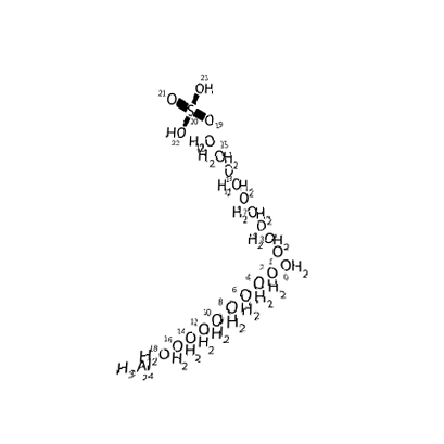 O.O.O.O.O.O.O.O.O.O.O.O.O.O.O.O.O.O.O.O=S(=O)(O)O.[AlH3]